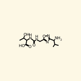 CC(C)C(N)c1noc(CNC(=O)NC(C(=O)O)C(C)O)n1